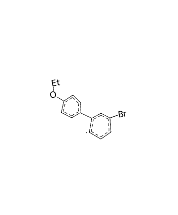 CCOc1ccc(-c2[c]ccc(Br)c2)cc1